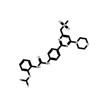 CS(=O)(=O)Cc1cc(N2CCOCC2)nc(-c2ccc(NC(=O)Nc3ccccc3OC(F)F)cc2)n1